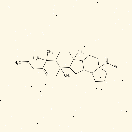 C=CCC1=CCC2(C)C(CCC3(C)C4CCC5(NCC)CCCC5C4CC32)C1(C)N